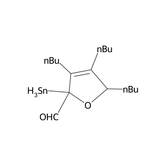 CCCCC1=C(CCCC)[C]([SnH3])(C=O)OC1CCCC